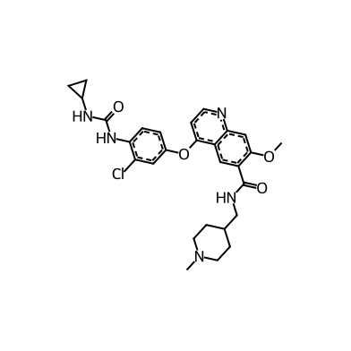 COc1cc2nccc(Oc3ccc(NC(=O)NC4CC4)c(Cl)c3)c2cc1C(=O)NCC1CCN(C)CC1